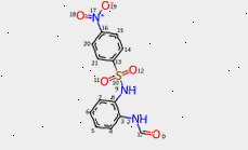 O=[C]Nc1ccccc1NS(=O)(=O)c1ccc([N+](=O)[O-])cc1